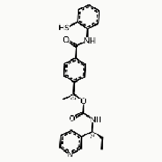 CC[C@H](NC(=O)O[C@@H](C)c1ccc(C(=O)Nc2ccccc2S)cc1)c1cccnc1